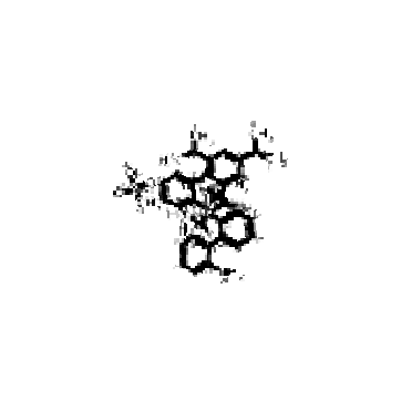 CC(C)c1cc(C(C)C)c(-c2ccccc2[PH](c2ccccc2-c2ccccc2N)(C(C)(C)C)C(C)(C)C)c(C(C)C)c1.CS(=O)(=O)O